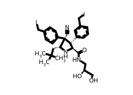 CC(C)(C)C[C@H]1N[C@H](C(=O)NC[C@H](O)CO)[C@@H](c2cccc(CI)c2)[C@]1(C#N)c1ccc(CI)cc1